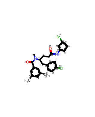 CN(C(=O)c1cc(C(F)(F)F)cc(C(F)(F)F)c1)C(CCC(=O)Nc1cccc(Br)c1)Cc1ccc(Cl)cc1